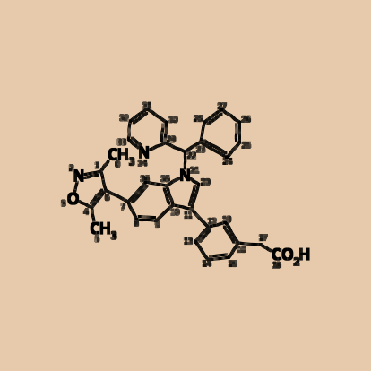 Cc1noc(C)c1-c1ccc2c(-c3cccc(CC(=O)O)c3)cn(C(c3ccccc3)c3ccccn3)c2c1